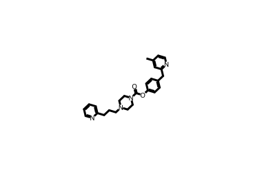 Cc1ccnc(Cc2ccc(OC(=O)N3CCN(CCCc4ccccn4)CC3)cc2)c1